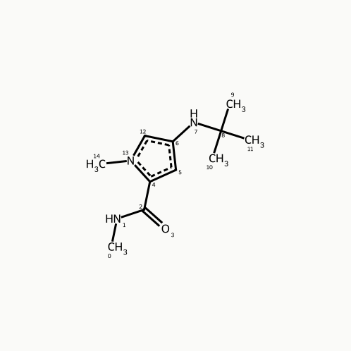 CNC(=O)c1cc(NC(C)(C)C)cn1C